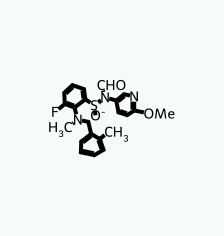 COc1ccc(N(C=O)[S+]([O-])c2cccc(F)c2N(C)Cc2ccccc2C)cn1